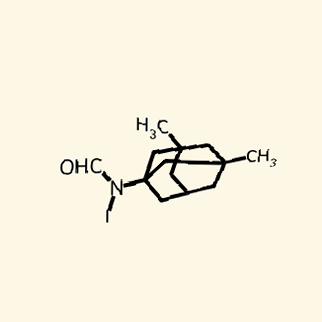 CC12CC3CC(C)(C1)CC(N(I)C=O)(C3)C2